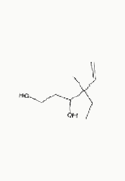 C=CC(C)(CC)C(O)CCO